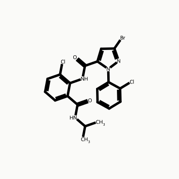 CC(C)NC(=O)c1cccc(Cl)c1NC(=O)c1cc(Br)nn1-c1ccccc1Cl